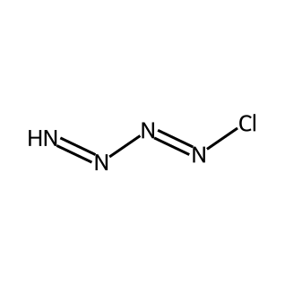 N=N/N=N/Cl